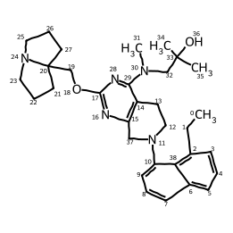 CCc1cccc2cccc(N3CCc4c(nc(OCC56CCCN5CCC6)nc4N(C)CC(C)(C)O)C3)c12